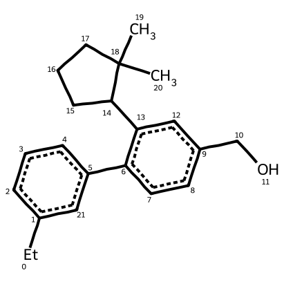 CCc1cccc(-c2ccc(CO)cc2C2CCCC2(C)C)c1